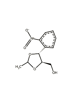 CC1O[C@H](c2ccccc2[N+](=O)[O-])[C@@H](CO)O1